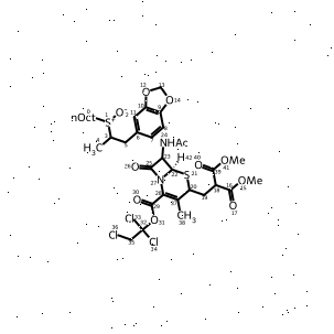 CCCCCCCC[S+]([O-])C(C)Cc1ccc2c(c1)OCO2.COC(=O)C(CC1S[C@@H]2C(NC(C)=O)C(=O)N2C(C(=O)OC(Cl)(Cl)CCl)=C1C)C(=O)OC